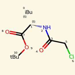 CC[C@H](C)[C@H](NC(=O)CCl)C(=O)OC(C)(C)C